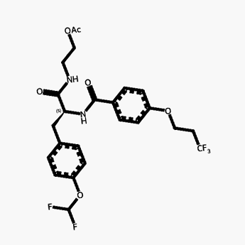 CC(=O)OCCNC(=O)[C@H](Cc1ccc(OC(F)F)cc1)NC(=O)c1ccc(OCCC(F)(F)F)cc1